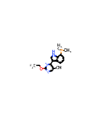 CP(C)c1cccc2c(-c3nc(OCC(F)(F)F)ncc3C#N)c[nH]c12